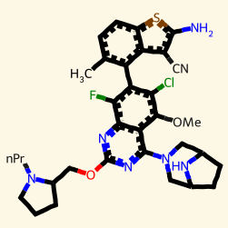 CCCN1CCCC1COc1nc(N2CC3CCC(C2)N3)c2c(OC)c(Cl)c(-c3c(C)ccc4sc(N)c(C#N)c34)c(F)c2n1